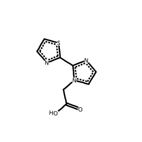 O=C(O)Cn1ccnc1-c1nccs1